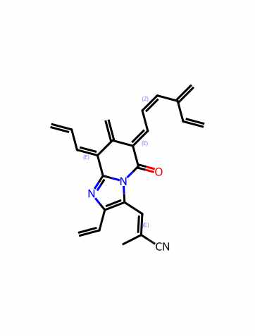 C=C/C=c1\c(=C)/c(=C\C=C/C(=C)C=C)c(=O)n2c(/C=C(\C)C#N)c(C=C)nc12